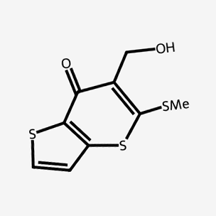 CSc1sc2ccsc2c(=O)c1CO